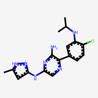 Cc1cc(Nc2cnc(-c3ccc(Cl)c(NC(C)C)c3)c(N)n2)n[nH]1